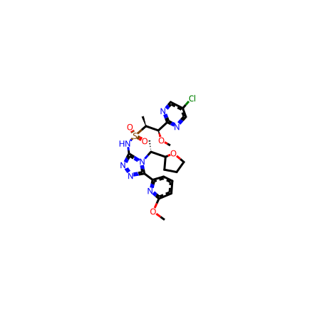 COc1cccc(-c2nnc(NS(=O)(=O)[C@@H](C)[C@H](OC)c3ncc(Cl)cn3)n2[C@H](C)C2CCCO2)n1